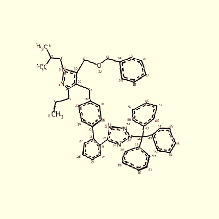 CCCc1nn(CC(C)C)c(COCc2ccccc2)c1Cc1ccc(-c2ccccc2-c2nnn(C(c3ccccc3)(c3ccccc3)c3ccccc3)n2)cc1